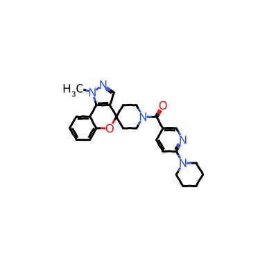 Cn1ncc2c1-c1ccccc1OC21CCN(C(=O)c2ccc(N3CCCCC3)nc2)CC1